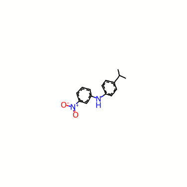 CC(C)c1ccc(Nc2cccc([N+](=O)[O-])c2)cc1